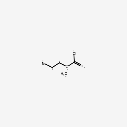 O.O=C(Cl)OCCBr